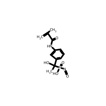 C=C(C)C(=O)Nc1cccc(C(C)(O)P(=O)(O)N=O)c1